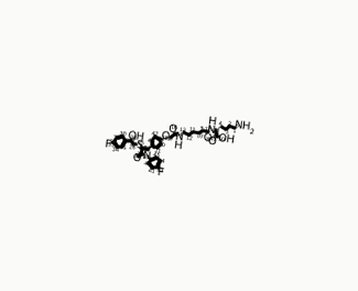 NCCCC[C@@H](NC(=O)CCCCCNC(=O)COc1ccc([C@@H]2[C@@H](SCC(O)c3ccc(F)cc3)C(=O)N2c2ccc(F)cc2)cc1)C(=O)O